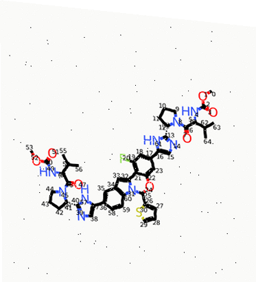 COC(=O)N[C@H](C(=O)N1CCC[C@H]1c1ncc(-c2cc(F)c3c(c2)OC(c2cccs2)n2c-3cc3cc(-c4cnc([C@@H]5CCCN5C(=O)[C@@H](NC(=O)OC)C(C)C)[nH]4)ccc32)[nH]1)C(C)C